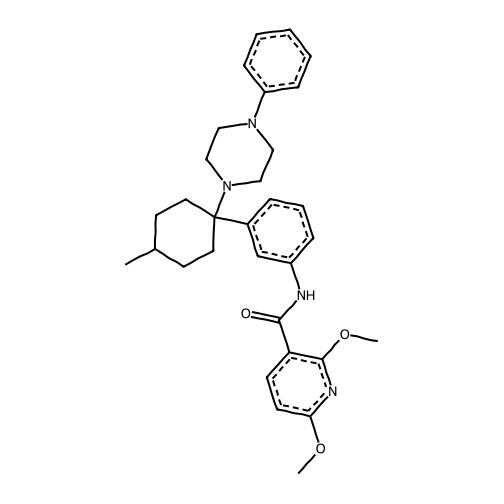 COc1ccc(C(=O)Nc2cccc(C3(N4CCN(c5ccccc5)CC4)CCC(C)CC3)c2)c(OC)n1